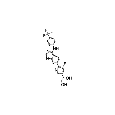 OC[C@@H](O)c1cnc(-c2ccc3c(Nc4ccc(C(F)(F)F)cn4)ncnc3n2)c(F)c1